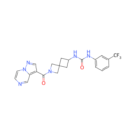 O=C(Nc1cccc(C(F)(F)F)c1)NC1CC2(C1)CN(C(=O)c1cnn3ccncc13)C2